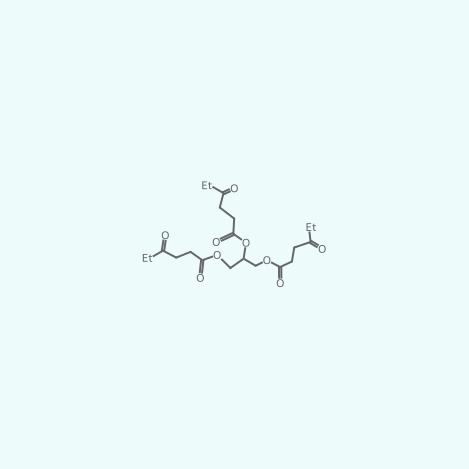 CCC(=O)CCC(=O)OCC(COC(=O)CCC(=O)CC)OC(=O)CCC(=O)CC